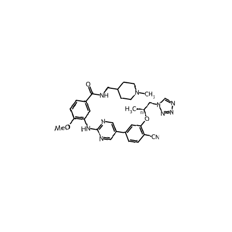 COc1ccc(C(=O)NCC2CCN(C)CC2)cc1Nc1ncc(-c2ccc(C#N)c(O[C@@H](C)Cn3cnnn3)c2)cn1